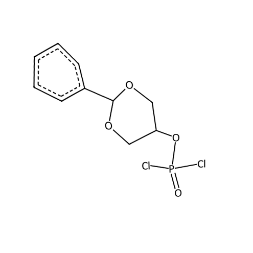 O=P(Cl)(Cl)OC1COC(c2ccccc2)OC1